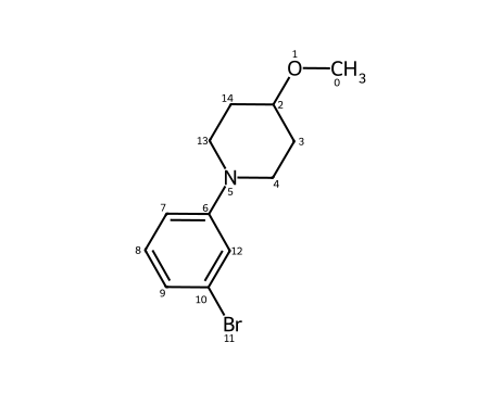 COC1CCN(c2cccc(Br)c2)CC1